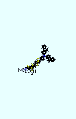 CC1(C)c2ccccc2-c2ccc(N(c3ccc(-c4cc5sc(-c6cc7sc8cc(/C=C(/C#N)C(=O)O)sc8c7s6)cc5s4)cc3)c3ccc4c(c3)C(C)(C)c3ccccc3-4)cc21